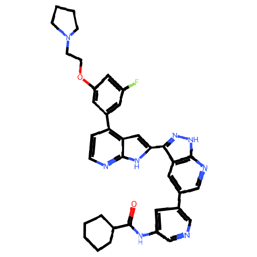 O=C(Nc1cncc(-c2cnc3[nH]nc(-c4cc5c(-c6cc(F)cc(OCCN7CCCC7)c6)ccnc5[nH]4)c3c2)c1)C1CCCCC1